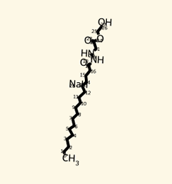 CCCCCCCCCCCCCCCCCC(=O)NNCC(=O)OCCO.[NaH]